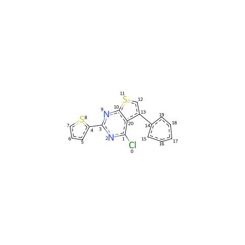 Clc1nc(-c2cccs2)nc2scc(-c3ccccc3)c12